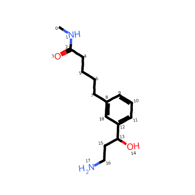 CNC(=O)CCCCc1cccc(C(O)CCN)c1